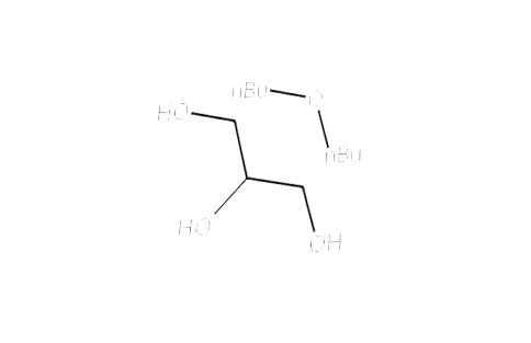 CCCCOCCCC.OCC(O)CO